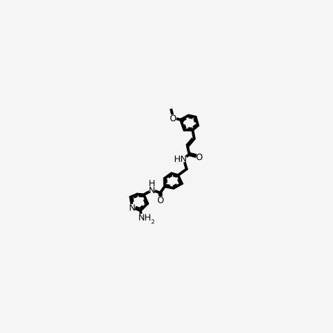 COc1cccc(/C=C/C(=O)NCc2ccc(C(=O)Nc3ccnc(N)c3)cc2)c1